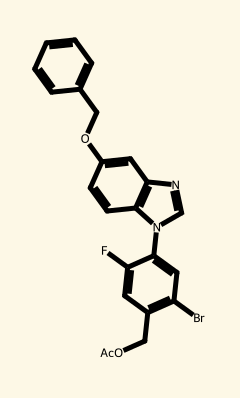 CC(=O)OCc1cc(F)c(-n2cnc3cc(OCc4ccccc4)ccc32)cc1Br